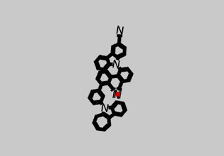 N#Cc1ccc2c(c1)c1ccccc1n2-c1cccc(C#N)c1-c1cccc(-c2cccc(-n3c4c(c5ccccc53)C=CC=CC4)c2)c1C#N